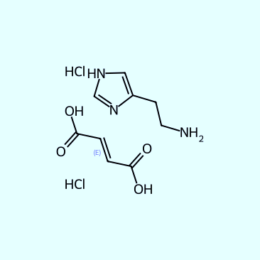 Cl.Cl.NCCc1c[nH]cn1.O=C(O)/C=C/C(=O)O